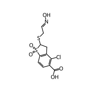 O=C(O)c1ccc2c(c1Cl)CC(SCC=NO)S2(=O)=O